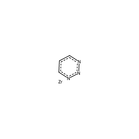 [Zr].c1cnnnc1